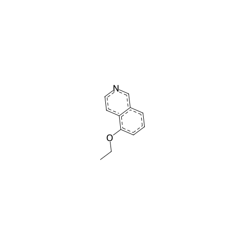 CCOc1cccc2cnccc12